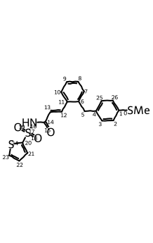 CSc1ccc(Cc2ccccc2C=CC(=O)NS(=O)(=O)c2cccs2)cc1